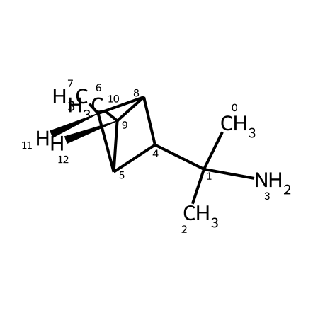 CC(C)(N)C1C2[C@H](C)C1[C@H]2C